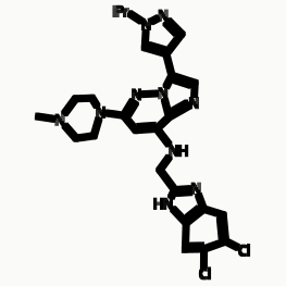 CC(C)n1cc(-c2cnc3c(NCc4nc5cc(Cl)c(Cl)cc5[nH]4)cc(N4CCN(C)CC4)nn23)cn1